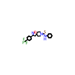 FC(F)(F)c1ccc(C2=NOC3(CCN(C(=S)Nc4ccccc4)CC3)C2)cc1